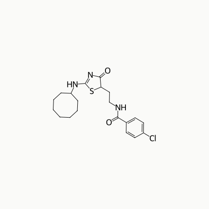 O=C(NCCC1SC(NC2CCCCCCC2)=NC1=O)c1ccc(Cl)cc1